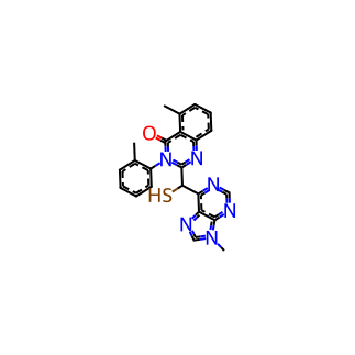 Cc1ccccc1-n1c(C(S)c2ncnc3c2ncn3C)nc2cccc(C)c2c1=O